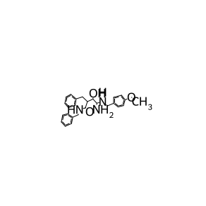 COc1ccc(CNC(N)C(O)C(Cc2ccccc2)C(=O)NCc2ccccc2)cc1